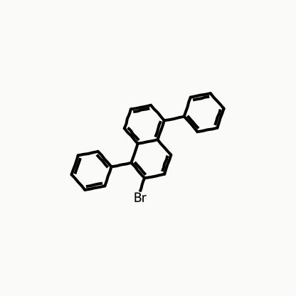 Brc1ccc2c(-c3ccccc3)cccc2c1-c1ccccc1